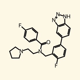 O=C(c1ccc(F)cc1)N(CCN1CCCC1)Cc1cc(-c2ccc3[nH]nnc3c2)ccc1F